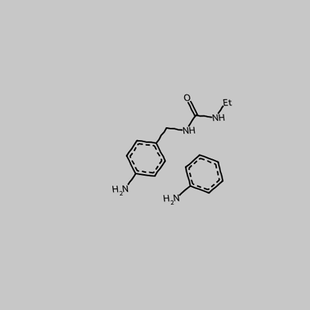 CCNC(=O)NCc1ccc(N)cc1.Nc1ccccc1